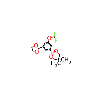 CC1(C)COB(c2cc(OC(F)F)cc(C3OCCO3)c2)OC1